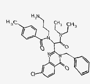 CCN(CC)C(=O)C(c1nc2cc(Cl)ccc2c(=O)n1Cc1ccccc1)N(CCCN)C(=O)c1ccc(C)cc1